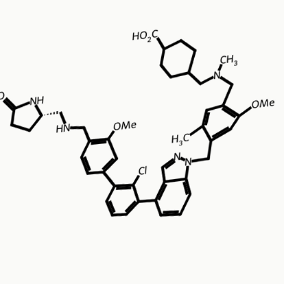 COc1cc(-c2cccc(-c3cccc4c3cnn4Cc3cc(OC)c(CN(C)CC4CCC(C(=O)O)CC4)cc3C)c2Cl)ccc1CNC[C@@H]1CCC(=O)N1